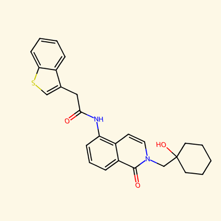 O=C(Cc1csc2ccccc12)Nc1cccc2c(=O)n(CC3(O)CCCCC3)ccc12